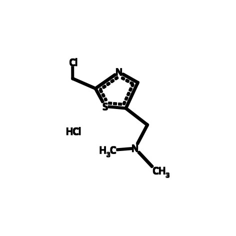 CN(C)Cc1cnc(CCl)s1.Cl